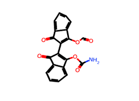 NC(=O)OC1=C(C2=C(OC=O)c3ccccc3C2=O)C(=O)c2ccccc21